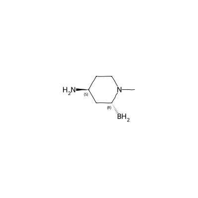 B[C@@H]1C[C@@H](N)CCN1C